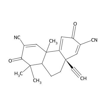 C#C[C@]12C=C(C#N)C(=O)C=C1C1(C)C=C(C#N)C(=O)C(C)(C)C1CC2